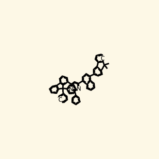 CC1(C)c2ccccc2-c2cc(-c3ccc(-c4cc(-c5cccc6c5C(c5ccccc5)(c5ccccc5)c5ccccc5-6)nc(-c5ccccc5)n4)c4ccccc34)ccc21